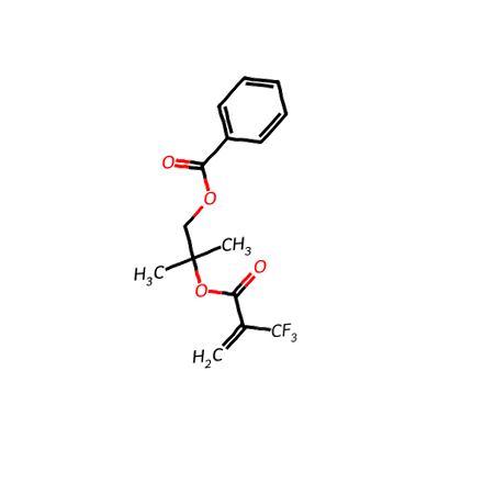 C=C(C(=O)OC(C)(C)COC(=O)c1ccccc1)C(F)(F)F